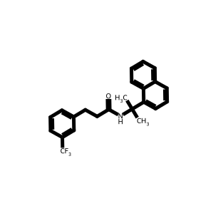 CC(C)(NC(=O)CCc1cccc(C(F)(F)F)c1)c1cccc2ccccc12